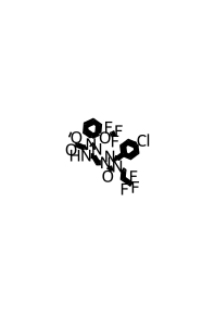 COC(=O)C1NC(Cn2nc(-c3ccc(Cl)cc3)n(CCC(F)(F)F)c2=O)=NN1c1ccccc1OC(F)(F)F